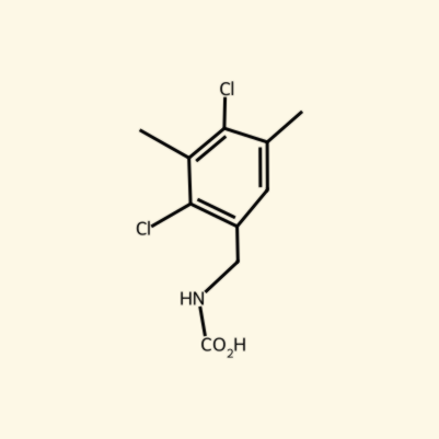 Cc1cc(CNC(=O)O)c(Cl)c(C)c1Cl